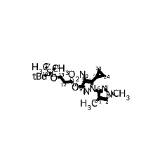 Cc1cn(C)nc1-n1nc(OCCCO[Si](C)(C)C(C)(C)C)c([N+](=O)[O-])c1C1CC1